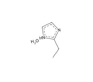 CCc1ncc[nH]1.O